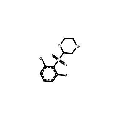 O=S(=O)(c1c(Cl)cccc1Br)C1CNCCN1